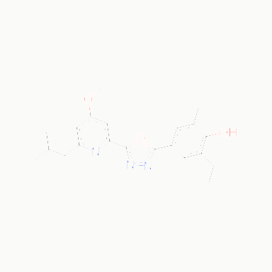 CCc1cc(-c2nnc(-c3cc(OC)cc(CC(C)C)n3)o2)cc(C)c1O